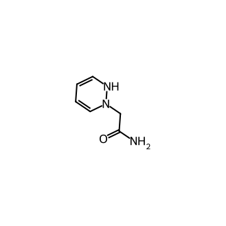 NC(=O)CN1C=CC=CN1